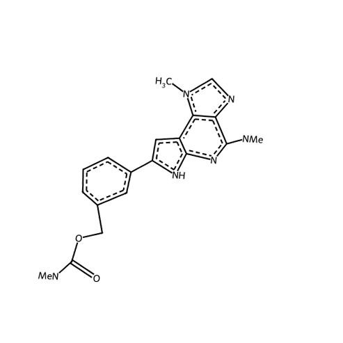 CNC(=O)OCc1cccc(-c2cc3c(nc(NC)c4ncn(C)c43)[nH]2)c1